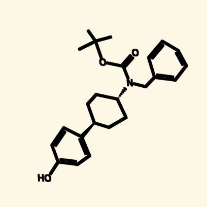 CC(C)(C)OC(=O)N(Cc1ccccc1)[C@H]1CC[C@H](c2ccc(O)cc2)CC1